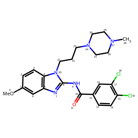 COc1ccc2c(c1)nc(NC(=O)c1ccc(Cl)c(Cl)c1)n2CCCN1CCN(C)CC1